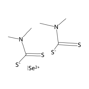 CN(C)C(=S)[S-].CN(C)C(=S)[S-].[Se+2]